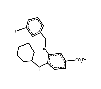 CCOC(=O)c1ccc(NC2CCCCC2)c(NCc2cccc(F)c2)c1